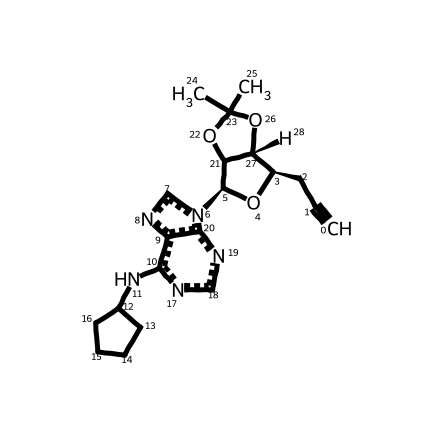 C#CC[C@H]1O[C@@H](n2cnc3c(NC4CCCC4)ncnc32)C2OC(C)(C)O[C@@H]21